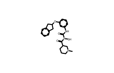 CN1CCCC(C(=O)N(S)C(=O)Nc2cccc(OC3Cc4ccccc4C3)c2)C1